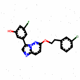 Oc1cc(F)cc(-c2cnc3ccc(OCCc4cccc(Cl)c4)nn23)c1